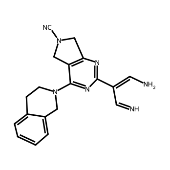 N#CN1Cc2nc(/C(C=N)=C/N)nc(N3CCc4ccccc4C3)c2C1